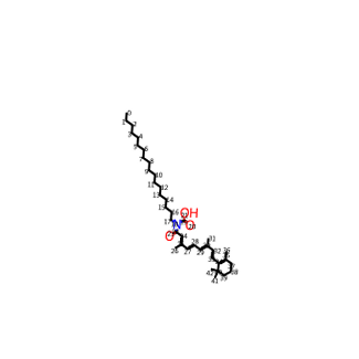 CCCCCCCCCCCCCCCCCCN(C(=O)O)C(=O)C=C(C)C=CC=C(C)C=CC1=C(C)CCCC1(C)C